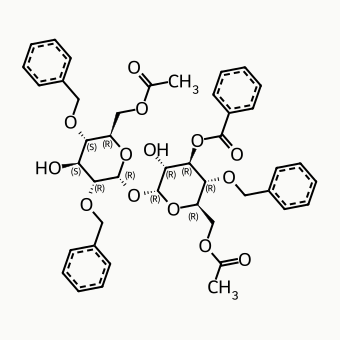 CC(=O)OC[C@H]1O[C@H](O[C@H]2O[C@H](COC(C)=O)[C@@H](OCc3ccccc3)[C@H](OC(=O)c3ccccc3)[C@H]2O)[C@H](OCc2ccccc2)[C@@H](O)[C@@H]1OCc1ccccc1